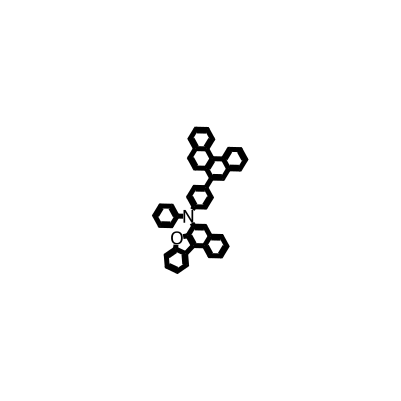 c1ccc(N(c2ccc(-c3cc4ccccc4c4c3ccc3ccccc34)cc2)c2cc3ccccc3c3c2oc2ccccc23)cc1